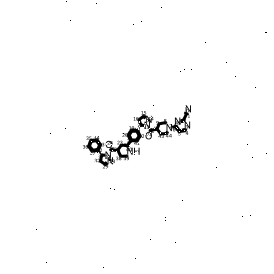 N#Cc1nccc(N2CCC(C(=O)N3N=CC[C@H]3c3ccc(C4CC(C(=O)N5N=CC[C@H]5c5ccccc5)CCN4)cc3)CC2)n1